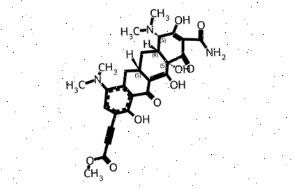 COC(=O)C#Cc1cc(N(C)C)c2c(c1O)C(=O)C1=C(O)[C@]3(O)C(=O)C(C(N)=O)=C(O)[C@@H](N(C)C)[C@H]3C[C@H]1C2